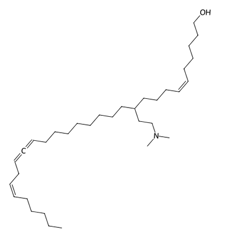 CCCCC/C=C\CC=C=CCCCCCCCCC(CCC/C=C\CCCCCO)CCN(C)C